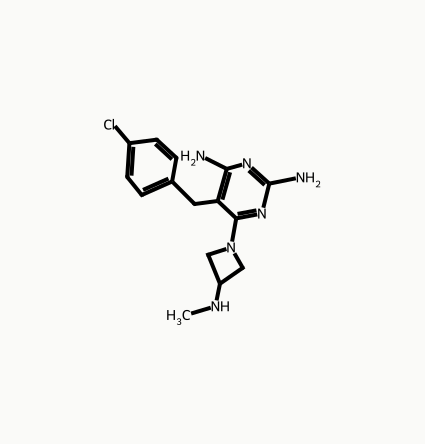 CNC1CN(c2nc(N)nc(N)c2Cc2ccc(Cl)cc2)C1